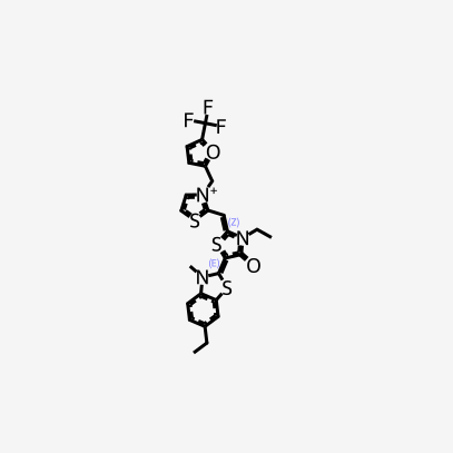 CCc1ccc2c(c1)S/C(=c1/s/c(=C\c3scc[n+]3Cc3ccc(C(F)(F)F)o3)n(CC)c1=O)N2C